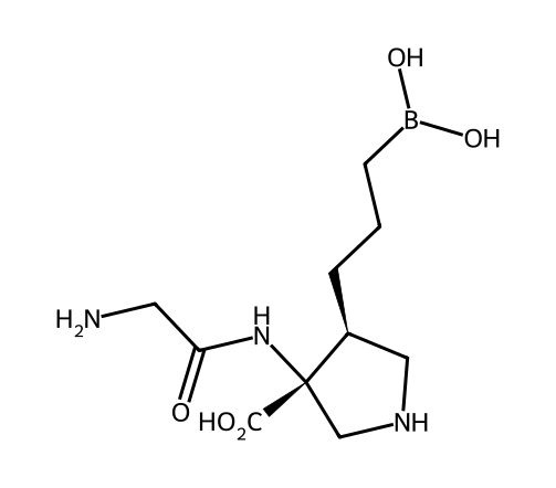 NCC(=O)N[C@@]1(C(=O)O)CNC[C@@H]1CCCB(O)O